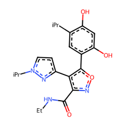 CCNC(=O)c1noc(-c2cc(C(C)C)c(O)cc2O)c1-c1ccn(C(C)C)n1